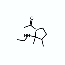 CCNC1(C)C(C)CCN1C(C)=O